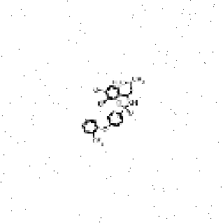 CN(C)CC(NS(=O)(=O)c1ccc(Oc2ccccc2C(F)(F)F)cc1)c1ccc(Cl)c(Cl)c1